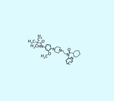 COc1cc(NC(=O)C(C)(C)C)ccc1N1CCN(CCN(C(=O)C2CCCCC2)c2ccccn2)CC1